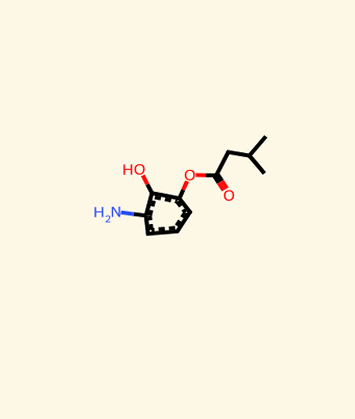 CC(C)CC(=O)Oc1cccc(N)c1O